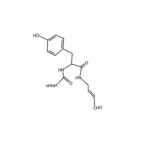 CCCCCCCC(=O)NC(Cc1ccc(O)cc1)C(=O)NC/C=C/C=O